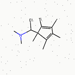 CCC(N(C)C)C1(C)C(C)=C(C)C(C)=[C]1[Ti]